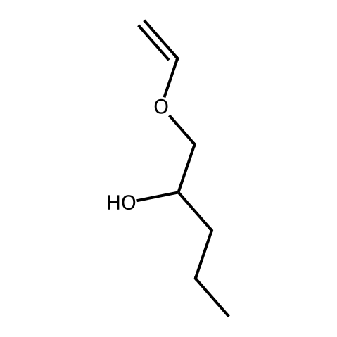 C=COCC(O)CCC